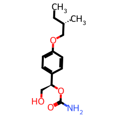 CC[C@H](C)COc1ccc([C@H](CO)OC(N)=O)cc1